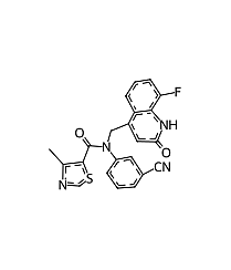 Cc1ncsc1C(=O)N(Cc1cc(=O)[nH]c2c(F)cccc12)c1cccc(C#N)c1